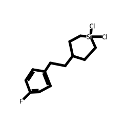 Fc1ccc(CCC2CC[Si](Cl)(Cl)CC2)cc1